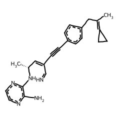 CC(Cc1ccc(C#C/C(C=N)=C/[C@@H](C)Nc2nccnc2N)cc1)=C1CC1